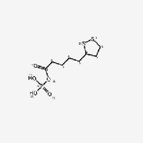 O=C(CCCCC1CCSS1)OP(=O)(O)O